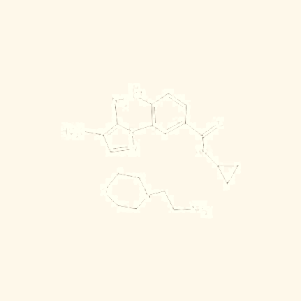 Cc1ccc(C(=O)NC2CC2)cc1-n1ncc(C(=O)O)c1N.NCCN1CCOCC1